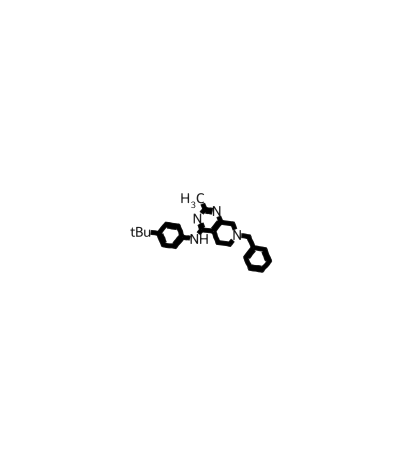 Cc1nc2c(c(Nc3ccc(C(C)(C)C)cc3)n1)CCN(Cc1ccccc1)C2